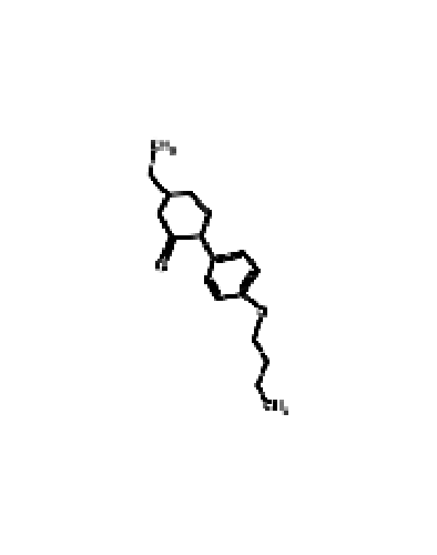 CCCCOc1ccc(C2CCC(CC)CC2=O)cc1